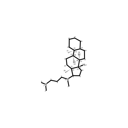 CN(C)CCCN(C)C1CC[C@H]2[C@@H]3CCC4CCCC[C@]4(C)[C@@H]3CC[C@]12C